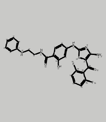 Nc1nc(Nc2ccc(C(=O)NCCNc3ccccc3)c(O)c2)sc1C(=O)c1c(F)cccc1F